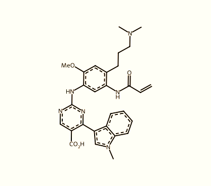 C=CC(=O)Nc1cc(Nc2ncc(C(=O)O)c(-c3cn(C)c4ccccc34)n2)c(OC)cc1CCCN(C)C